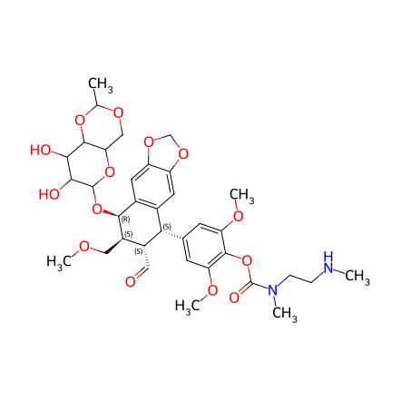 CNCCN(C)C(=O)Oc1c(OC)cc([C@H]2c3cc4c(cc3[C@H](OC3OC5COC(C)OC5C(O)C3O)[C@H](COC)[C@H]2C=O)OCO4)cc1OC